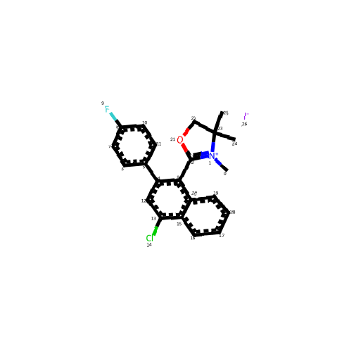 C[N+]1=C(c2c(-c3ccc(F)cc3)cc(Cl)c3ccccc23)OCC1(C)C.[I-]